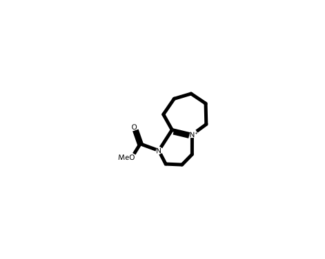 COC(=O)N1CCC[N+]2=C1CCCCC2